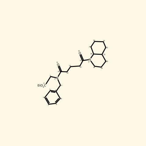 CCOC(=O)CN(Cc1ccccc1)C(=O)CCCC(=O)N1CCCC2CCCCC21